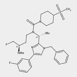 CN[C@@H](CF)CCN(C(=O)N1CCC(S(C)(=O)=O)CC1)[C@@H](c1nc(-c2cccc(F)c2)cn1Cc1ccccc1)C(C)(C)C